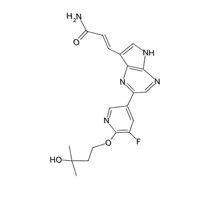 CC(C)(O)CCOc1ncc(-c2cnc3[nH]cc(C=CC(N)=O)c3n2)cc1F